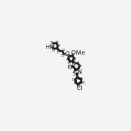 COc1cc(N2CCc3nc(-c4ccc(Cl)cc4)sc3C2=O)ccc1OCCCC1CCCNC1